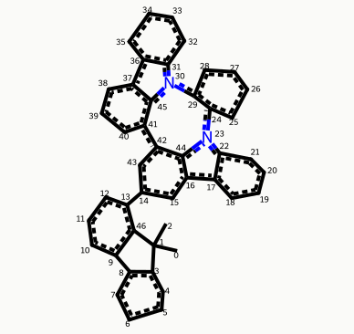 CC1(C)c2ccccc2-c2cccc(-c3cc4c5ccccc5n5c6ccccc6n6c7ccccc7c7cccc(c(c3)c45)c76)c21